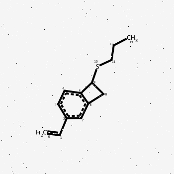 C=Cc1ccc2c(c1)CC2SCCC